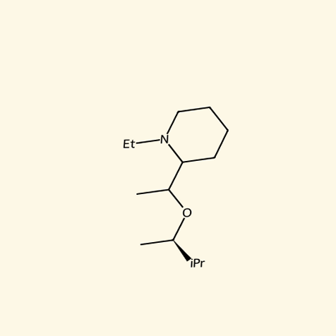 CCN1CCCCC1C(C)O[C@H](C)C(C)C